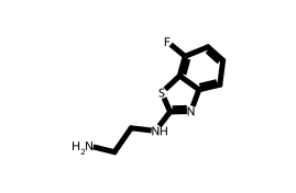 NCCNc1nc2cccc(F)c2s1